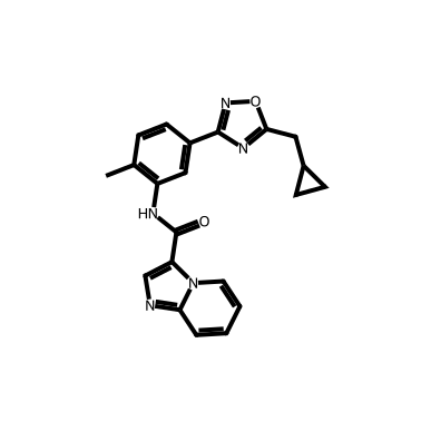 Cc1ccc(-c2noc(CC3CC3)n2)cc1NC(=O)c1cnc2ccccn12